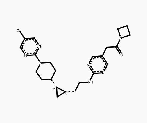 O=C(Cc1cnc(NCC[C@@H]2C[C@@H]2C2CCN(c3ncc(Cl)cn3)CC2)nc1)N1CCC1